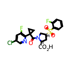 O=C(O)[C@@H]1C[C@@H](S(=O)(=O)c2ccccc2F)CN1C(=O)C1(c2ncc(Cl)cc2F)CC1